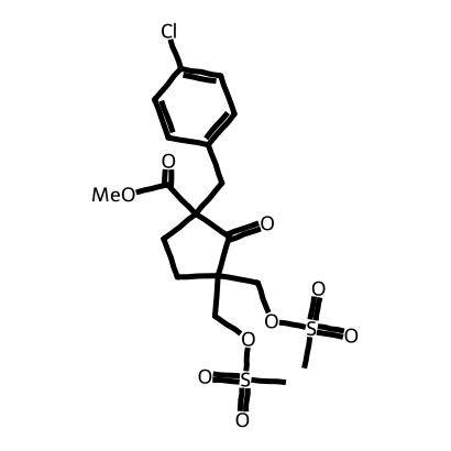 COC(=O)C1(Cc2ccc(Cl)cc2)CCC(COS(C)(=O)=O)(COS(C)(=O)=O)C1=O